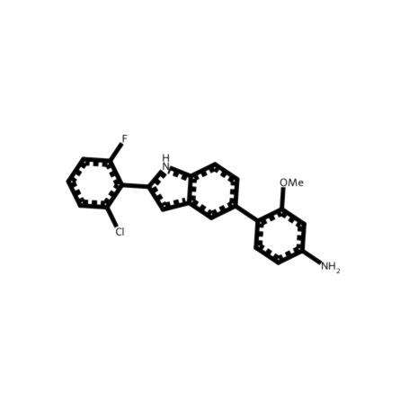 COc1cc(N)ccc1-c1ccc2[nH]c(-c3c(F)cccc3Cl)cc2c1